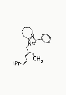 C=C/C(=C\C=C/C(C)C)C[n+]1cc(-c2ccccc2)n2c1CCCCC2